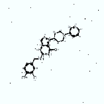 O=c1[nH]c(NCc2ccc(Cl)c(Cl)c2)nc2cnn(C3CCN(c4cccnc4)CC3)c12